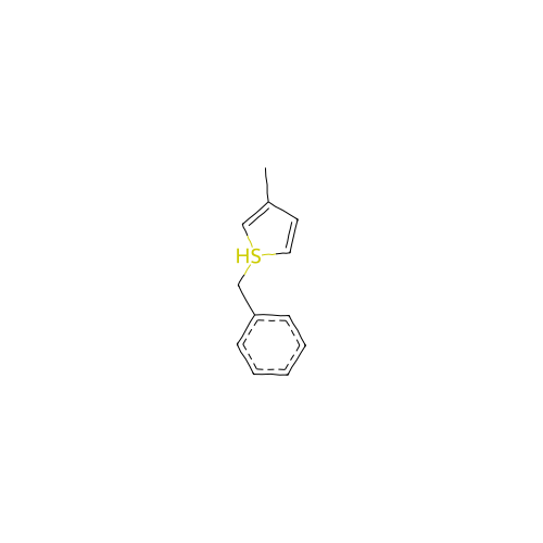 CC1=C[SH](Cc2ccccc2)C=C1